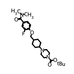 CN(C)C(=O)c1ccc(OCC2CCC(N3CCN(C(=O)OC(C)(C)C)CC3)CC2)c(F)c1